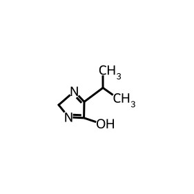 CC(C)C1=NCN=C1O